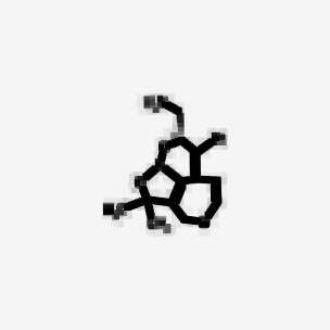 CCC1=C2C=COCC3=C2B(O[C@@H]1CN)OC3(C)C